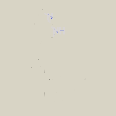 CC1(C)c2cc3c(cc2-c2cc4c5ccccc5c5ccccc5c4cc21)[nH]c1ncccc13